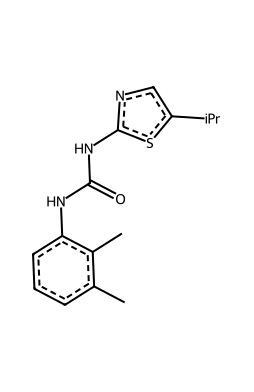 Cc1cccc(NC(=O)Nc2ncc(C(C)C)s2)c1C